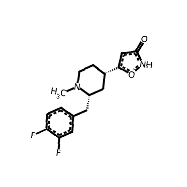 CN1CC[C@H](c2cc(=O)[nH]o2)C[C@@H]1Cc1ccc(F)c(F)c1